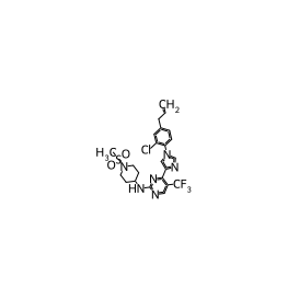 C=CCc1ccc(-n2cnc(-c3nc(NC4CCN(S(C)(=O)=O)CC4)ncc3C(F)(F)F)c2)c(Cl)c1